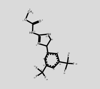 COC(=O)NC1=NC(c2cc(C(F)(F)F)cc(C(F)(F)F)c2)CN1